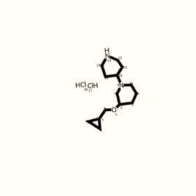 C1CC(OCC2CC2)CN(C2CCNCC2)C1.Cl.Cl